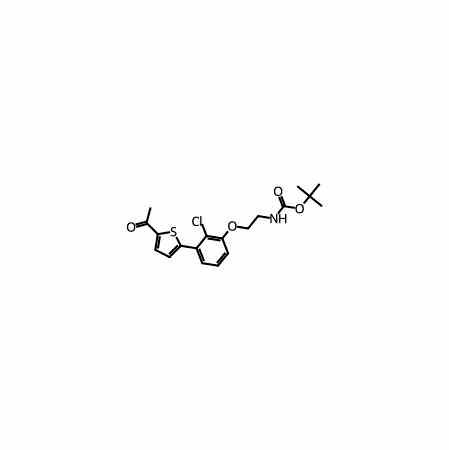 CC(=O)c1ccc(-c2cccc(OCCNC(=O)OC(C)(C)C)c2Cl)s1